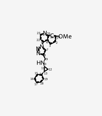 COc1ccc2c(-n3cc(CN[C@@H]4C[C@H]4c4ccccc4)nn3)ccnc2c1